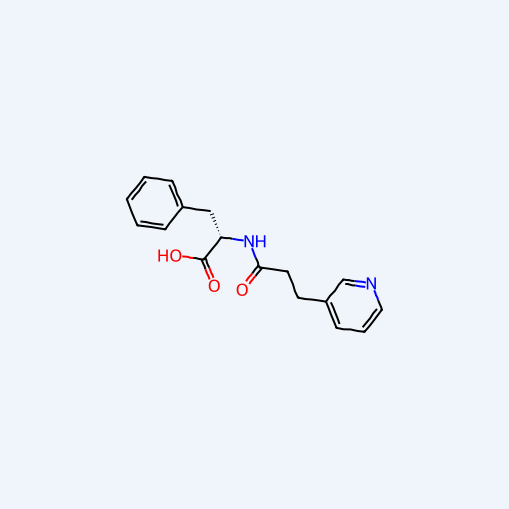 O=C(CCc1cccnc1)N[C@@H](Cc1ccccc1)C(=O)O